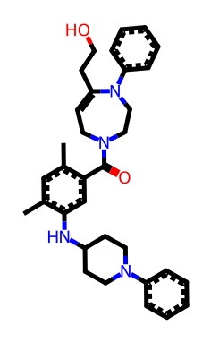 Cc1cc(C)c(C(=O)N2CC=C(CCO)N(c3ccccc3)CC2)cc1NC1CCN(c2ccccc2)CC1